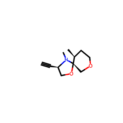 C#C[C@@H]1CO[C@]2(COCC[C@@H]2C)N1C